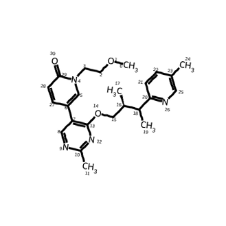 COCCn1cc(-c2cnc(C)nc2OC[C@@H](C)C(C)c2ccc(C)cn2)ccc1=O